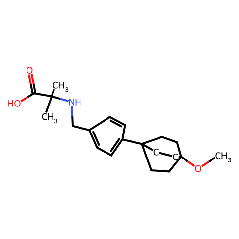 COC12CCC(c3ccc(CNC(C)(C)C(=O)O)cc3)(CC1)CC2